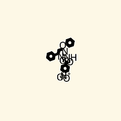 O=[N+]([O-])c1ccc(S(=O)(=O)Nc2nc(Oc3ccccc3)cc(-c3ccccc3)n2)cc1